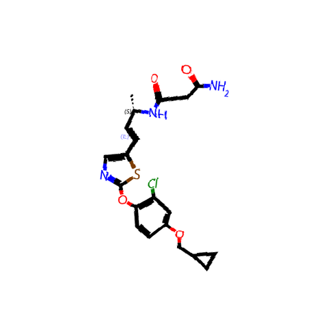 C[C@@H](/C=C/c1cnc(Oc2ccc(OCC3CC3)cc2Cl)s1)NC(=O)CC(N)=O